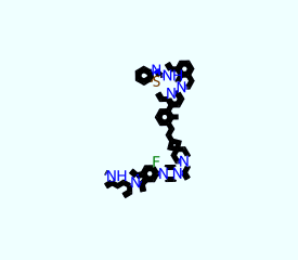 C=Cc1nc(N2CCc3cccc(C(=C)Nc4nc5ccccc5s4)c3C2)ccc1-c1cccc(CCC2CC3(CCN(CC(=C)N4CCN(c5cc6c(=C)n(C(C=C)CCC(=C)NC)c(=C)c6cc5F)CC4)CC3)C2)c1C